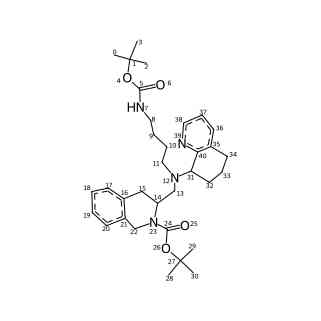 CC(C)(C)OC(=O)NCCCCN(CC1Cc2ccccc2CN1C(=O)OC(C)(C)C)C1CCCc2cccnc21